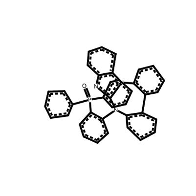 O=P(c1ccccc1)(c1ccccc1)c1ccccc1N1c2ccccc2-c2ccccc2-n2c1nc1ccccc12